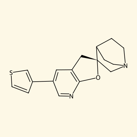 c1cc(-c2cnc3c(c2)C[C@@]2(CN4CCC2CC4)O3)cs1